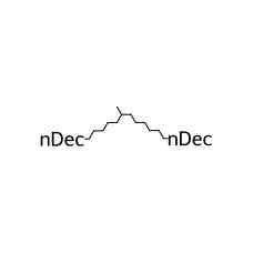 CCCCCCCCCCCCCCCCC(C)CCCCCCCCCCCCCCC